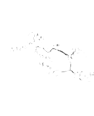 CO[Si](CCCN(C)C(C)C(=O)O)(OC)OC